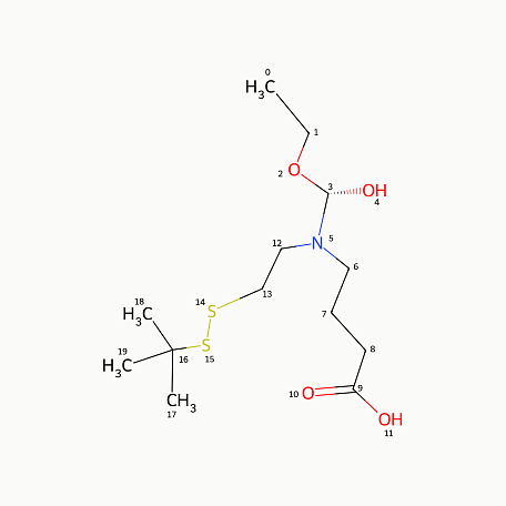 CCO[C@H](O)N(CCCC(=O)O)CCSSC(C)(C)C